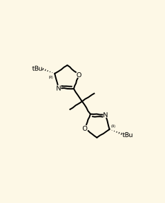 CC(C)(C1=N[C@H](C(C)(C)C)CO1)C1=N[C@H](C(C)(C)C)CO1